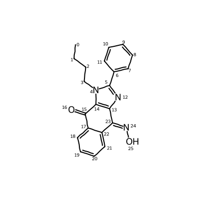 CCCCn1c(-c2ccccc2)nc2c1C(=O)c1ccccc1C2=NO